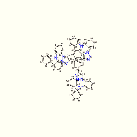 c1ccc(-n2c3ccccc3c3ccccc32)c(-n2cc(-c3cc(-c4cn(-c5ccccc5-n5c6ccccc6c6ccccc65)nn4)cc(-c4cn(-c5ccccc5-n5c6ccccc6c6ccccc65)nn4)c3)nn2)c1